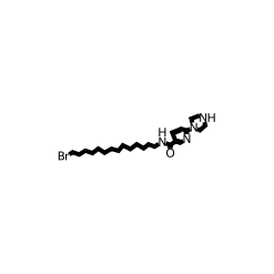 O=C(NCCCCCCCCCCCCCCBr)c1ccc(N2CCNCC2)nc1